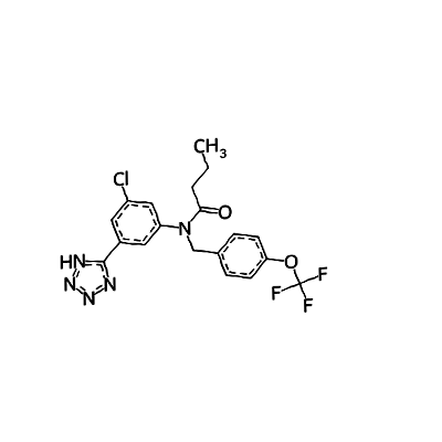 CCCC(=O)N(Cc1ccc(OC(F)(F)F)cc1)c1cc(Cl)cc(-c2nnn[nH]2)c1